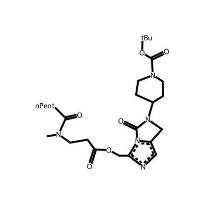 CCCCCC(=O)N(C)CCC(=O)OCc1ncc2n1C(=O)N(C1CCN(C(=O)OC(C)(C)C)CC1)C2